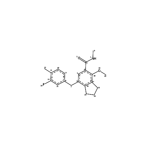 CNC(=O)c1cc(Cc2ccc(C)c(F)c2)c2c(c1OC)CCC2